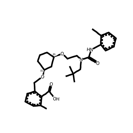 Cc1ccccc1NC(=O)N(CCO[C@@H]1CCC[C@H](OCc2cccc(C)c2C(=O)O)C1)CC(C)(C)C